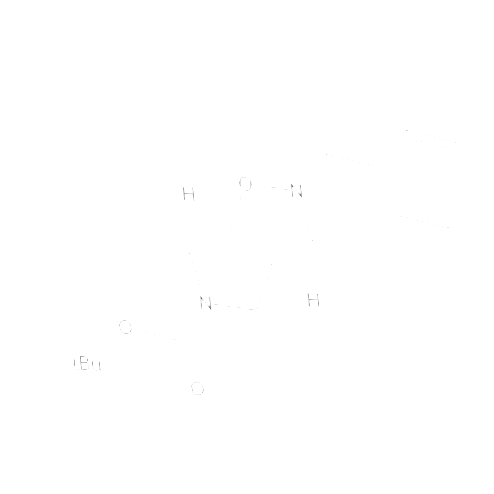 CC(C)(C)OC(=O)N1C[C@@H]2CN(Cc3ccccc3)O[C@@H]2C1